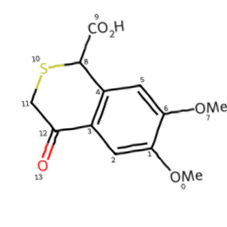 COc1cc2c(cc1OC)C(C(=O)O)SCC2=O